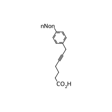 CCCCCCCCCc1ccc(CC#CCCCC(=O)O)cc1